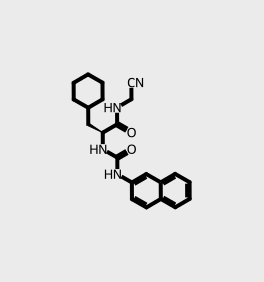 N#CCNC(=O)[C@H](CC1CCCCC1)NC(=O)Nc1ccc2ccccc2c1